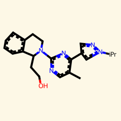 Cc1cnc(N2CCc3ccccc3C2CCO)nc1-c1cnn(C(C)C)c1